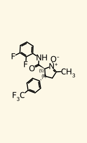 CC1=[N+]([O-])[C@H](C(=O)Nc2cccc(F)c2F)[C@@H](c2ccc(C(F)(F)F)cc2)C1